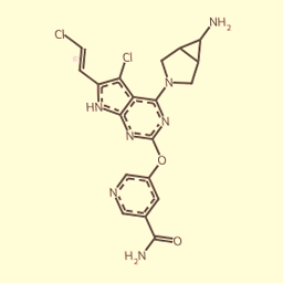 NC(=O)c1cncc(Oc2nc(N3CC4C(N)C4C3)c3c(Cl)c(/C=C/Cl)[nH]c3n2)c1